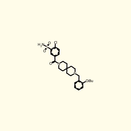 CC(C)COc1ccccc1CN1CCC2(CC1)CCN(C(=O)c1ccc(Cl)c(S(N)(=O)=O)c1)CC2